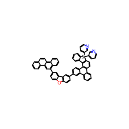 c1cncc([Si]2(c3cccnc3)c3ccccc3-c3c2ccc2c4ccccc4c4cc(-c5ccc6oc7ccc(-c8cc9c%10ccccc%10ccc9c9ccccc89)cc7c6c5)ccc4c32)c1